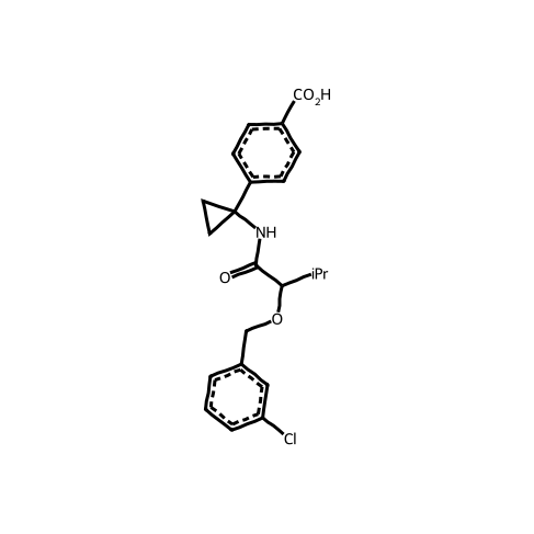 CC(C)C(OCc1cccc(Cl)c1)C(=O)NC1(c2ccc(C(=O)O)cc2)CC1